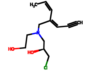 C#C/C=C(\C=C/C)CN(CCO)C[C@H](O)CCl